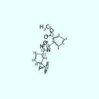 COC(=O)c1ccccc1-c1nc(-c2cccc(C(F)(F)F)c2)no1